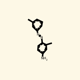 Cc1cccc(/N=N/c2ccc(N)cc2C)c1